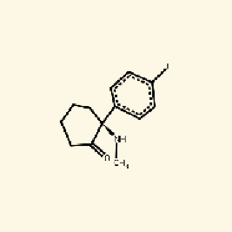 CN[C@]1(c2ccc(F)cc2)CCCCC1=O